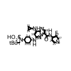 CC(C)(C)CN(C(=O)O)[C@H]1CC[C@H](Nc2cc(NC3CC3)c3ncc(C(=O)Nc4ccncc4F)n3n2)CC1